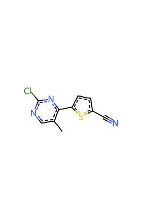 Cc1cnc(Cl)nc1-c1ccc(C#N)s1